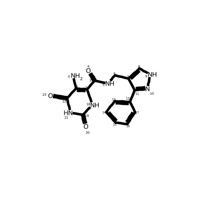 Nc1c(C(=O)NCc2c[nH]nc2-c2ccccc2)[nH]c(=O)[nH]c1=O